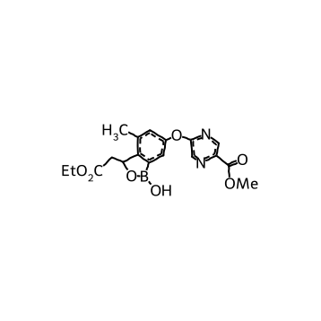 CCOC(=O)CC1OB(O)c2cc(Oc3cnc(C(=O)OC)cn3)cc(C)c21